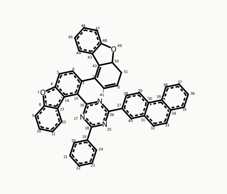 C1=CC(c2ccc3oc4ccccc4c3c2-c2nc(-c3ccccc3)nc(-c3ccc4c(ccc5ccccc54)c3)n2)=C2c3ccccc3OC2C1